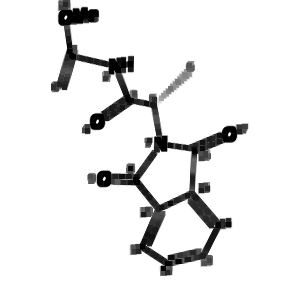 C=C(NC(=O)[C@H](C)N1C(=O)c2ccccc2C1=O)OC